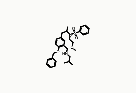 COCCN(C(C)Cc1ccc(OCc2ccccc2)c(CNCC(C)C)c1)S(=O)(=O)c1ccccc1